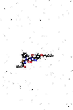 COCCCOc1ccc(C2NC(=O)N([C@@H](Cc3ccccc3)C(=O)Nc3nc(C(=O)OC)cs3)C2=O)cc1